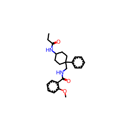 CCC(=O)NC1CCC(CNC(=O)c2ccccc2OC)(c2ccccc2)CC1